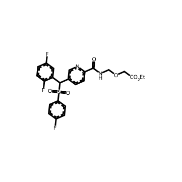 CCOC(=O)COCNC(=O)c1ccc(C(c2cc(F)ccc2F)S(=O)(=O)c2ccc(F)cc2)cn1